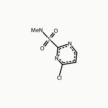 CNS(=O)(=O)c1nccc(Cl)n1